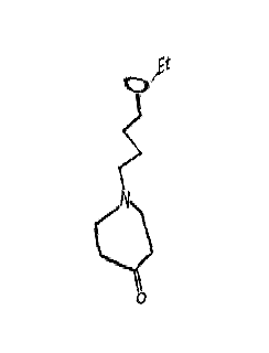 CCOCCCCN1CCC(=O)CC1